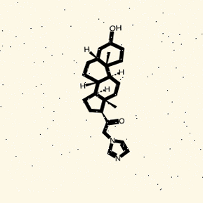 C[C@]12CCC(O)C[C@H]1CC[C@@H]1[C@@H]2CC[C@]2(C)[C@@H](C(=O)Cn3ccnc3)CC[C@@H]12